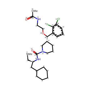 CNC[C@H](CC1CCCCC1)NC(=O)N1CCC[C@@H](C(OCCNC(=O)OC)c2cccc(Cl)c2F)C1